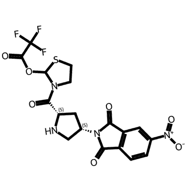 O=C([C@@H]1C[C@H](N2C(=O)c3ccc([N+](=O)[O-])cc3C2=O)CN1)N1CCSC1OC(=O)C(F)(F)F